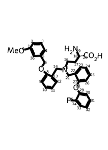 COc1cccc(COc2ccccc2CN(CC[C@H](N)C(=O)O)Cc2ccccc2Oc2ccccc2F)c1